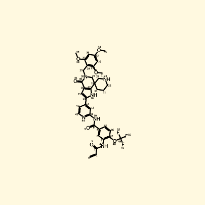 C=CC(=O)Nc1cc(C(=O)Nc2cc(-c3cc4c([nH]3)C3(CCCNC3)CN(Cc3c(OC)cc(OC)cc3OC)C4=O)ccn2)ccc1OC(F)(F)F